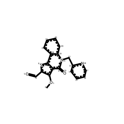 COc1c(C=O)sc2c1c(=O)n(Cc1ccccn1)c1ccccc21